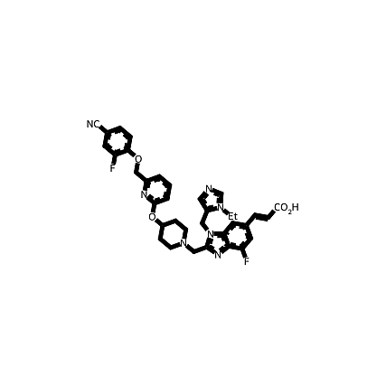 CCn1cncc1Cn1c(CN2CCC(Oc3cccc(COc4ccc(C#N)cc4F)n3)CC2)nc2c(F)cc(/C=C/C(=O)O)cc21